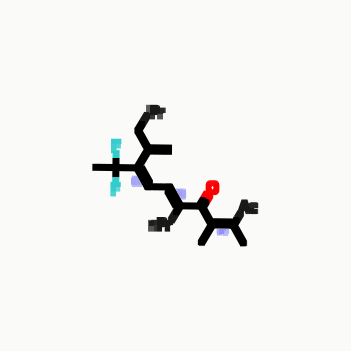 C=C(CC(C)C)/C(=C\C=C(/CCC)C(=O)/C(C)=C(/C)C(C)=O)C(C)(F)F